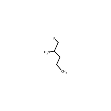 CCCC(N)CF